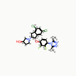 Cc1nnc(C)n1-c1ccc(O[C@H]2c3cc(Cl)cc(Cl)c3C[C@@H]2N2CCC(O)C2)c(F)c1F